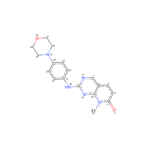 CCn1c(=O)ccc2cnc(Nc3ccc(N4CCOCC4)cc3)nc21